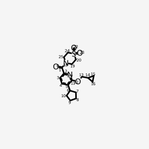 O=C(c1ccc(C2CCCC2)c(OCC2CC2)n1)N1CCS(=O)(=O)CC1